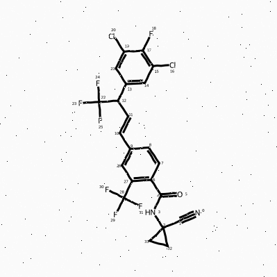 N#CC1(NC(=O)c2ccc(/C=C/C(c3cc(Cl)c(F)c(Cl)c3)C(F)(F)F)cc2C(F)(F)F)CC1